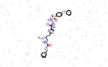 CC(CCc1nc(C(=O)NNS(=O)(=O)c2ccc(Oc3ccccc3)cc2)cs1)CNC(=O)OCc1ccccc1